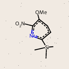 COc1ccc([Si](C)(C)C)nc1[N+](=O)[O-]